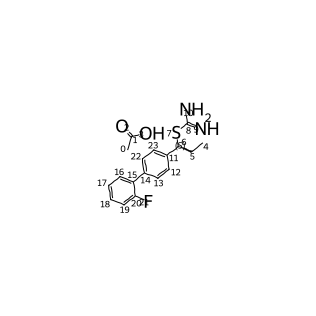 CC(=O)O.CC[C@H](SC(=N)N)c1ccc(-c2ccccc2F)cc1